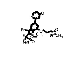 CCOP(=O)(O)C(F)(F)c1sc2c(OCCCS(C)(=O)=O)cc(-c3cc(=O)cc[nH]3)cc2c1Br